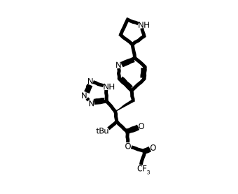 CC(C)(C)C(C(=O)OC(=O)C(F)(F)F)[C@H](Cc1ccc(C2CCNC2)nc1)c1nnn[nH]1